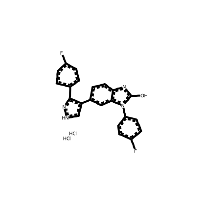 Cl.Cl.Oc1nc2ccc(-c3c[nH]nc3-c3ccc(F)cc3)cc2n1-c1ccc(F)cc1